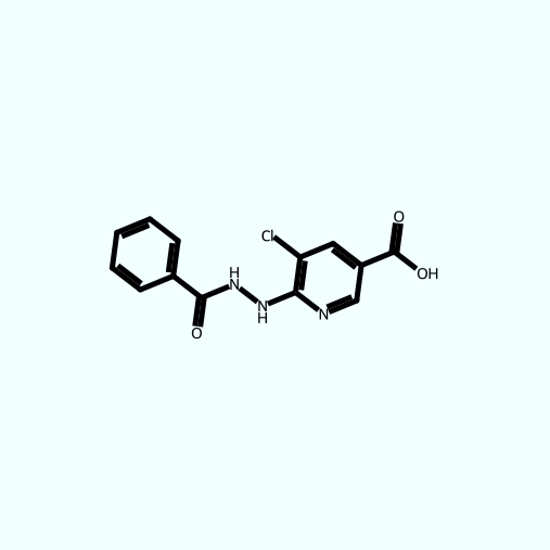 O=C(O)c1cnc(NNC(=O)c2ccccc2)c(Cl)c1